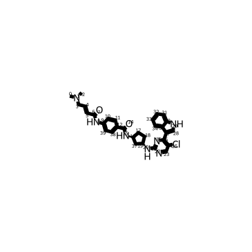 CN(C)CC=CC(=O)Nc1ccc(C(=O)N[C@H]2CC[C@@H](Nc3ncc(Cl)c(-c4c[nH]c5ccccc45)n3)C2)cc1